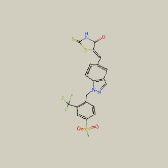 CS(=O)(=O)c1ccc(Cn2ncc3cc(/C=C4\SC(=S)NC4=O)ccc32)c(C(F)(F)F)c1